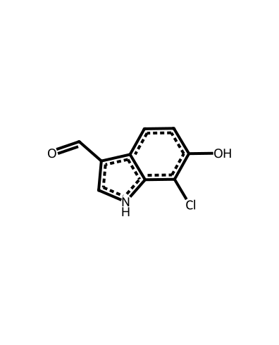 O=Cc1c[nH]c2c(Cl)c(O)ccc12